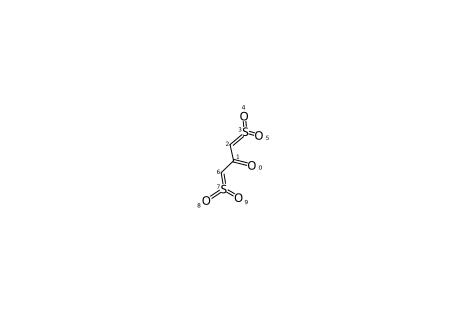 O=C(C=S(=O)=O)C=S(=O)=O